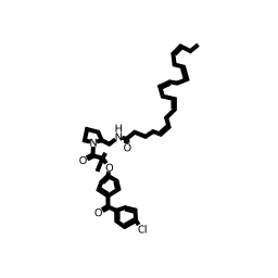 CC/C=C\C/C=C\C/C=C\C/C=C\C/C=C\CCCC(=O)NCC1CCCN1C(=O)C(C)(C)Oc1ccc(C(=O)c2ccc(Cl)cc2)cc1